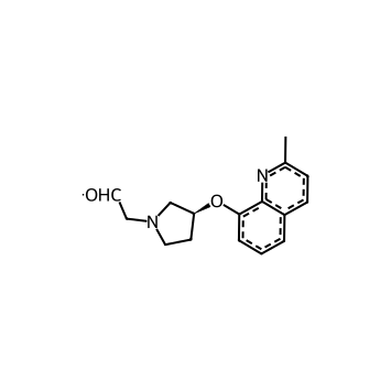 Cc1ccc2cccc(O[C@H]3CCN(C[C]=O)C3)c2n1